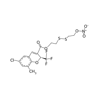 Cc1cc(Cl)cc2c1O[C@H](C(F)(F)F)C(C(=O)OCCSSCCO[N+](=O)[O-])=C2